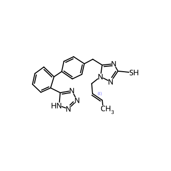 C/C=C/Cn1nc(S)nc1Cc1ccc(-c2ccccc2-c2nnn[nH]2)cc1